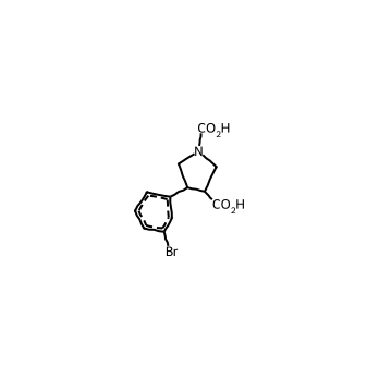 O=C(O)C1CN(C(=O)O)CC1c1cccc(Br)c1